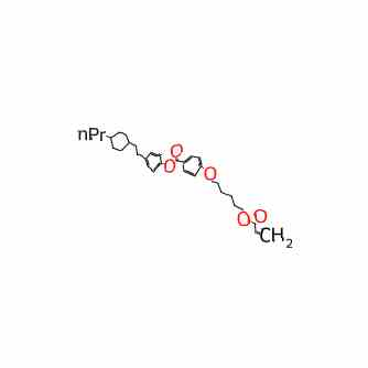 C=CC(=O)OCCCCCCOc1ccc(C(=O)Oc2ccc(CCC3CCC(CCC)CC3)cc2)cc1